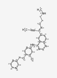 CC#C/C(=N\OCCNC)c1ccc2ncnc(Nc3ccc(OCc4cccnc4)c(Cl)c3)c2c1